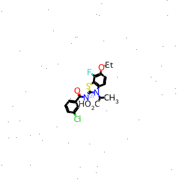 CCOc1ccc2c(s/c(=N\C(=O)c3cccc(Cl)c3)n2C(C)C(=O)O)c1F